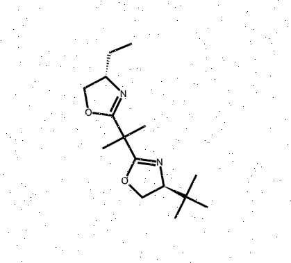 CC[C@H]1COC(C(C)(C)C2=N[C@@H](C(C)(C)C)CO2)=N1